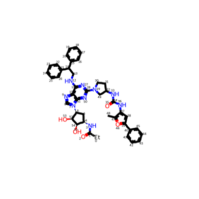 CCC(=O)N[C@H]1C[C@@H](n2cnc3c(NCC(c4ccccc4)c4ccccc4)nc(N4CCC(NC(=O)Nc5cc(-c6ccccc6)oc5C)C4)nc32)[C@H](O)[C@@H]1O